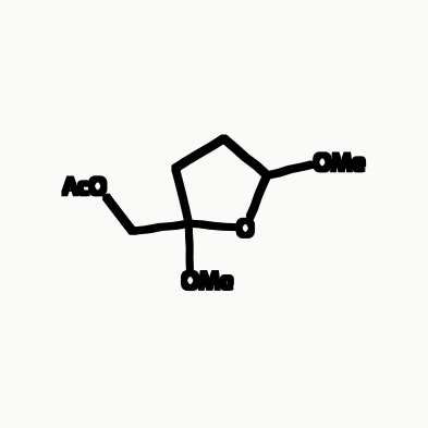 COC1CCC(COC(C)=O)(OC)O1